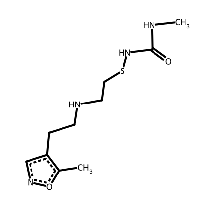 CNC(=O)NSCCNCCc1cnoc1C